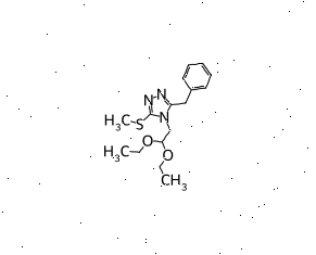 CCOC(Cn1c(Cc2ccccc2)nnc1SC)OCC